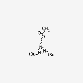 C=CC(=O)OCCCN1CN(CC(C)(C)C)CN(CC(C)(C)C)C1